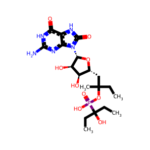 CCC(C)(C[C@H]1O[C@@H](n2c(=O)[nH]c3c(=O)[nH]c(N)nc32)[C@H](O)[C@@H]1O)OP(=O)(O)C(O)(CC)CC